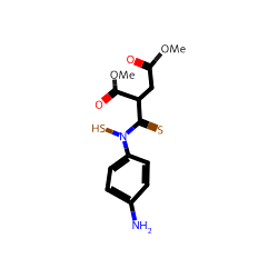 COC(=O)CC(C(=O)OC)C(=S)N(S)c1ccc(N)cc1